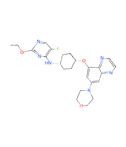 CCOc1ncc(F)c(N[C@H]2CC[C@@H](Oc3cc(N4CCOCC4)cc4nccnc34)CC2)n1